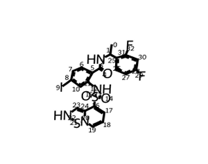 CC(NC(=O)c1ccc(I)cc1NS(=O)(=O)C1=CC=CN2SNC=C12)c1ccc(F)cc1F